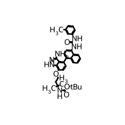 Cc1cccc(NC(=O)Nc2ccc(-c3ccc(OCCC(C)(C)NC(=O)OC(C)(C)C)c4[nH]nc(N)c34)c3ccccc23)c1